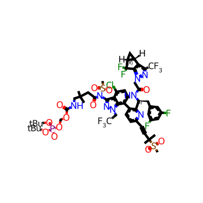 CC(C)(CNC(=O)OCOP(=O)(OC(C)(C)C)OC(C)(C)C)CC(=O)N(c1nn(CC(F)(F)F)c2c(-c3ccc(C#CC(C)(C)S(C)(=O)=O)nc3[C@H](Cc3cc(F)cc(F)c3)NC(=O)Cn3nc(C(F)(F)F)c4c3C(F)(F)[C@@H]3C[C@H]43)ccc(Cl)c12)S(C)(=O)=O